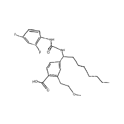 CCCCCCCC(NC(=O)Nc1ccc(F)cc1F)c1ccc(C(=O)O)c(CCOC)c1